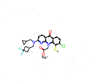 CSc1c(Cl)ccc2c(=O)c3ccc(N(CC4CC4)CC4CC(F)(F)C4)nc3n(CC(=O)[O-])c12.[Na+]